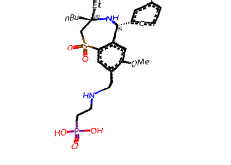 CCCC[C@]1(CC)CS(=O)(=O)c2cc(CNCCP(=O)(O)O)c(OC)cc2[C@@H](c2ccccc2)N1